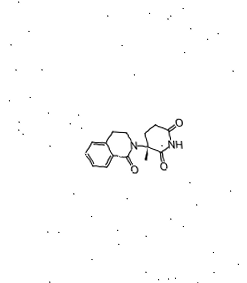 C[C@@]1(N2CCc3ccccc3C2=O)CCC(=O)NC1=O